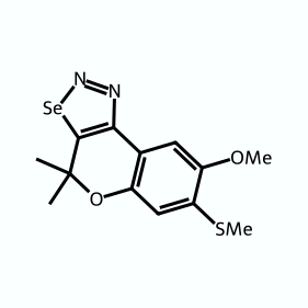 COc1cc2c(cc1SC)OC(C)(C)c1[se]nnc1-2